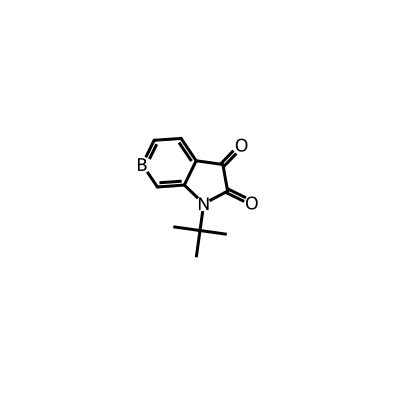 CC(C)(C)N1C(=O)C(=O)c2ccbcc21